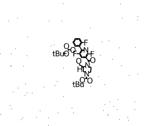 CC(C)(C)OC(=O)Oc1cccc(F)c1-c1nc(F)c2c(c1F)OC[C@H]1CN(C(=O)OC(C)(C)C)CCN1C2=O